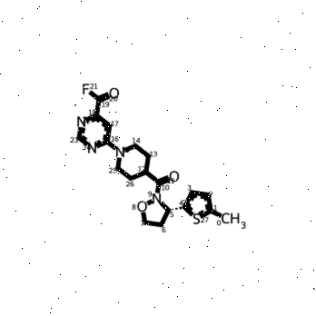 Cc1ccc([C@@H]2CCON2C(=O)C2CCN(c3cc(C(=O)F)ncn3)CC2)s1